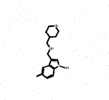 CCCn1cc(CNCC2CCNCC2)c2cc(C)ccc21